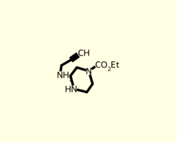 C#CCN.CCOC(=O)N1CCNCC1